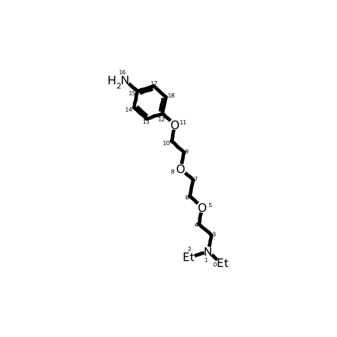 CCN(CC)CCOCCOCCOc1ccc(N)cc1